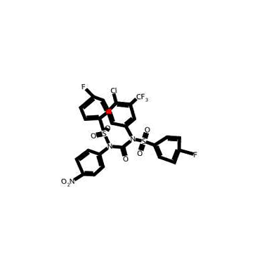 O=C(N(c1ccc([N+](=O)[O-])cc1)S(=O)(=O)c1ccc(F)cc1)N(c1ccc(Cl)c(C(F)(F)F)c1)S(=O)(=O)c1ccc(F)cc1